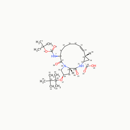 CC(C)(C)OC(=O)N[C@H]1CCCC/C=C\[C@@H]2C[C@@]2(C(=O)O)NC(=O)[C@@H]2C[C@@H](O[Si](C)(C)C(C)(C)C)CN2C1=O